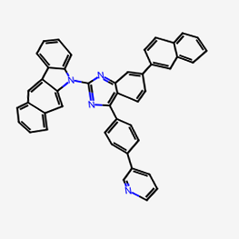 c1cncc(-c2ccc(-c3nc(-n4c5ccccc5c5cc6ccccc6cc54)nc4cc(-c5ccc6ccccc6c5)ccc34)cc2)c1